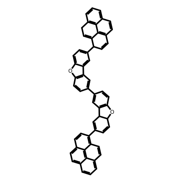 C1=CC2Oc3ccc(-c4ccc5oc6ccc(C7C=Cc8ccc9cccc%10c9c8C7=CC%10)cc6c5c4)cc3C2C=C1c1ccc2ccc3cccc4ccc1c2c34